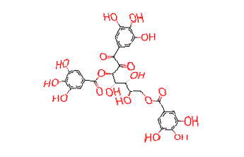 O=C(OC[C@@H](O)[C@@H](O)[C@H](O)[C@@H](OC(=O)c1cc(O)c(O)c(O)c1)C(=O)C(=O)c1cc(O)c(O)c(O)c1)c1cc(O)c(O)c(O)c1